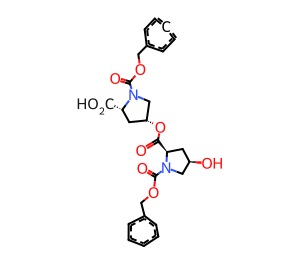 O=C(O)[C@H]1C[C@@H](OC(=O)[C@H]2C[C@@H](O)CN2C(=O)OCc2ccccc2)CN1C(=O)OCc1ccccc1